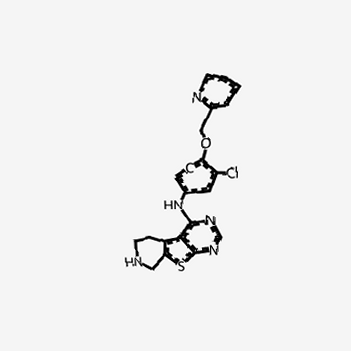 Clc1cc(Nc2ncnc3sc4c(c23)CCNC4)ccc1OCc1ccccn1